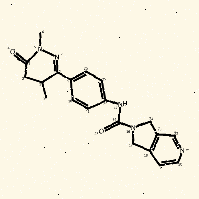 CC1CC(=O)N(C)N=C1c1ccc(NC(=O)N2Cc3ccncc3C2)cc1